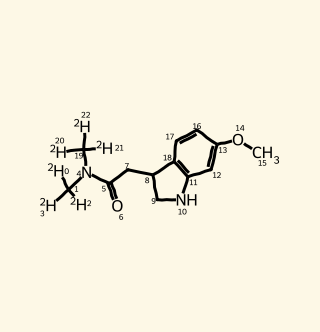 [2H]C([2H])([2H])N(C(=O)CC1CNc2cc(OC)ccc21)C([2H])([2H])[2H]